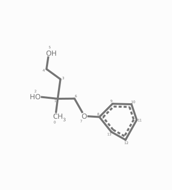 CC(O)(CCO)COc1ccccc1